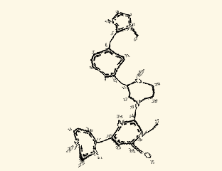 Cn1ccnc1-c1cccc(C2CN(c3nc(-c4ccncn4)cc(=O)n3C)CCO2)c1